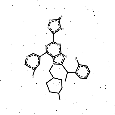 CC1CCC(Cn2c(C(C)c3ccccc3F)nc3nc(-c4noc(=O)[nH]4)nc(-c4cncc(Cl)c4)c32)CC1